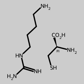 N=C(N)NCCCCN.N[C@@H](CS)C(=O)O